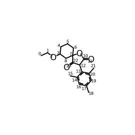 CCOC1CCCC2(C1)OC(=O)C(c1c(C)cc(C)cc1C)C2=O